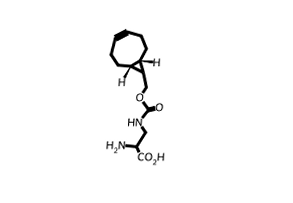 NC(CNC(=O)OCC1[C@H]2CCC#CCC[C@@H]12)C(=O)O